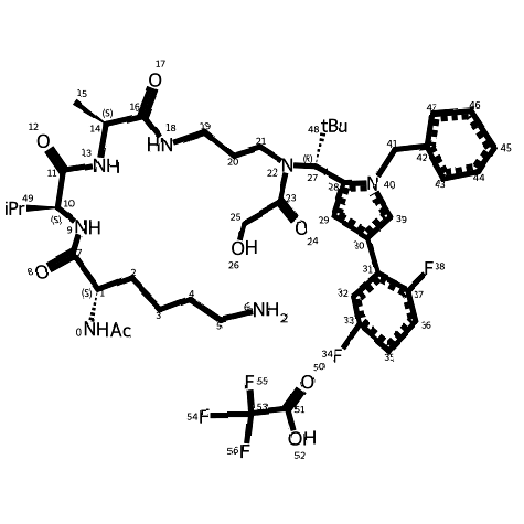 CC(=O)N[C@@H](CCCCN)C(=O)N[C@H](C(=O)N[C@@H](C)C(=O)NCCCN(C(=O)CO)[C@@H](c1cc(-c2cc(F)ccc2F)cn1Cc1ccccc1)C(C)(C)C)C(C)C.O=C(O)C(F)(F)F